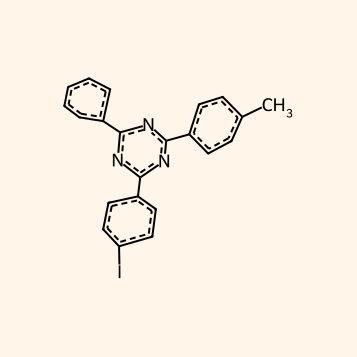 Cc1ccc(-c2nc(-c3ccccc3)nc(-c3ccc(I)cc3)n2)cc1